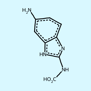 Nc1ccc2nc(NC(=O)O)[nH]c2c1